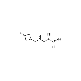 C=C1CC(C(=C)NCC(=N)C(=N)Cl)C1